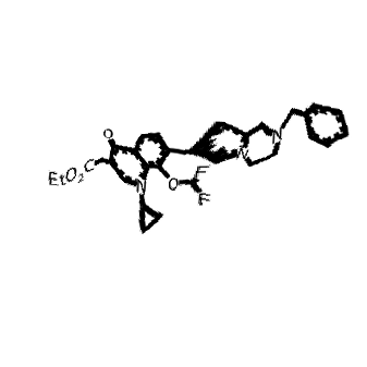 CCOC(=O)c1cn(C2CC2)c2c(OC(F)F)c(-c3cc4n(c3)CCN(Cc3ccccc3)C4)ccc2c1=O